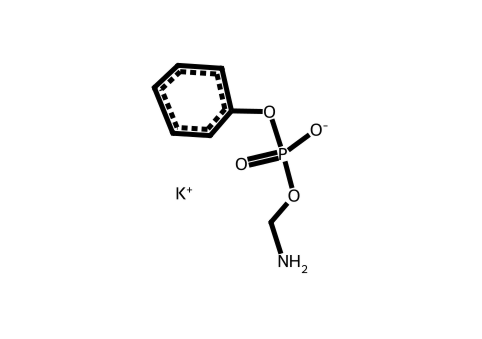 NCOP(=O)([O-])Oc1ccccc1.[K+]